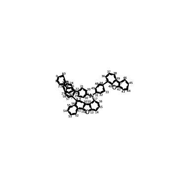 c1ccc(-c2ccc(-c3cc4c(oc5cccc(N(c6ccc(-c7ccccc7)cc6)c6ccc(-c7cccc8c7oc7ccccc78)cc6)c54)c4ccccc34)cc2)cc1